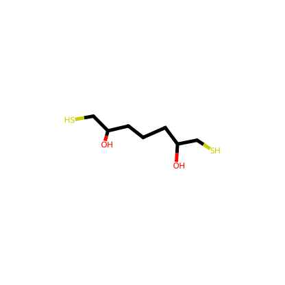 OC(CS)CCCC(O)CS